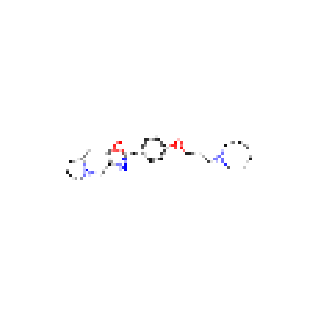 CC1CCCN1Cc1coc(-c2ccc(OCCCN3CCCCCC3)cc2)n1